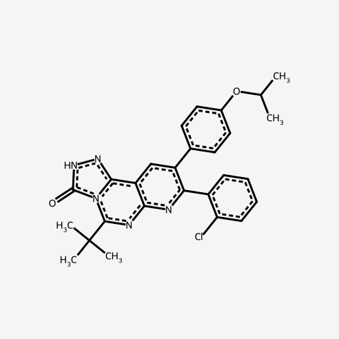 CC(C)Oc1ccc(-c2cc3c(nc2-c2ccccc2Cl)nc(C(C)(C)C)n2c(=O)[nH]nc32)cc1